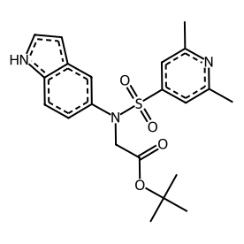 Cc1cc(S(=O)(=O)N(CC(=O)OC(C)(C)C)c2ccc3[nH]ccc3c2)cc(C)n1